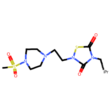 CC(C)Cn1c(=O)sn(CCN2CCN(S(C)(=O)=O)CC2)c1=O